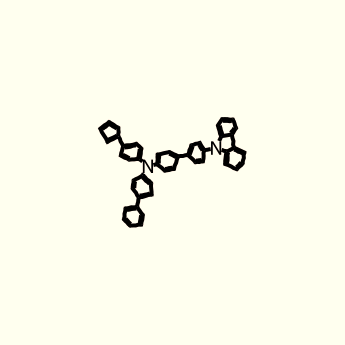 C1=CC=C(c2ccc(N(c3ccc(-c4ccccc4)cc3)c3ccc(-c4ccc(-n5c6ccccc6c6ccccc65)cc4)cc3)cc2)C=1